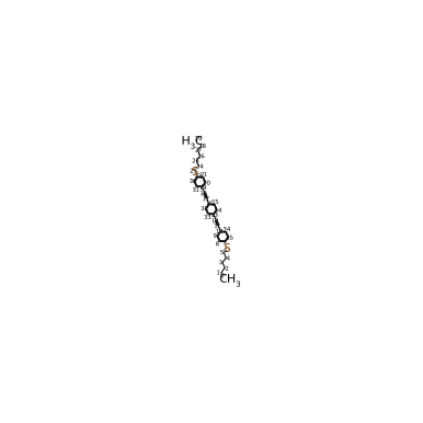 CCCCCCSc1ccc(C#Cc2ccc(C#Cc3ccc(SCCCCCC)cc3)cc2)cc1